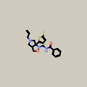 C=CCN1CC2CON(C(=S)NC(=O)c3ccccc3)C2(c2ccc(F)s2)C1